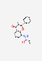 C=CC(=O)Nc1cccc2c(=O)c(C)c(-c3ccccc3)oc12